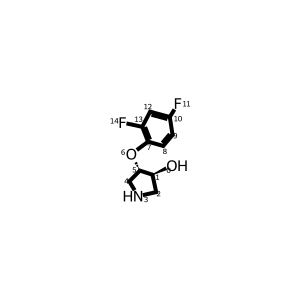 O[C@H]1CNC[C@@H]1Oc1ccc(F)cc1F